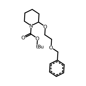 CC(C)(C)OC(=O)N1CCCCC1OCCOCc1ccccc1